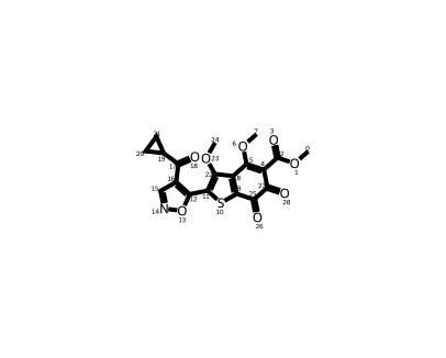 COC(=O)C1=C(OC)c2c(sc(-c3oncc3C(=O)C3CC3)c2OC)C(=O)C1=O